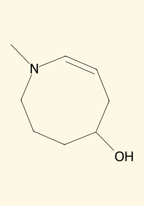 CN1/C=C\CC(O)CCC1